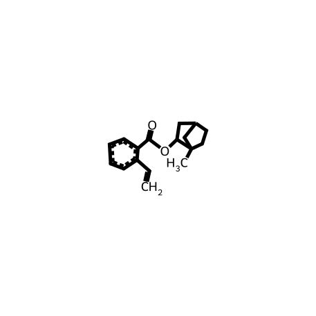 C=Cc1ccccc1C(=O)OC1CC2CCC1(C)C2